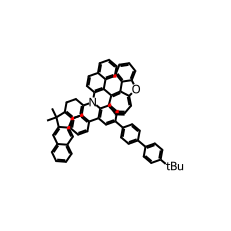 CC(C)(C)c1ccc(-c2ccc(-c3ccc(N(C4=CC5=C(CC4)C(C)(C)c4cc6ccccc6cc45)c4ccc5ccccc5c4C4=c5c(oc6ccccc56)=CC#CC4)c(-c4ccccc4)c3)cc2)cc1